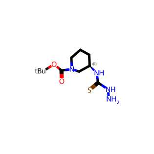 CC(C)(C)OC(=O)N1CCC[C@@H](NC(=S)NN)C1